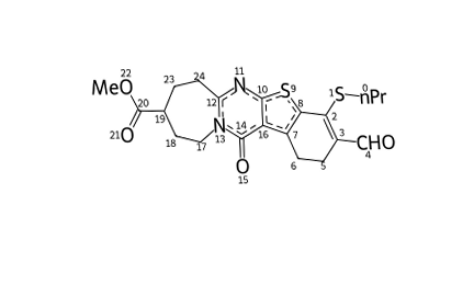 CCCSC1=C(C=O)CCc2c1sc1nc3n(c(=O)c21)CCC(C(=O)OC)CC3